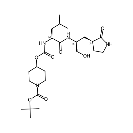 CC(C)C[C@H](NC(=O)OC1CCN(C(=O)OC(C)(C)C)CC1)C(=O)N[C@H](CO)C[C@@H]1CCNC1=O